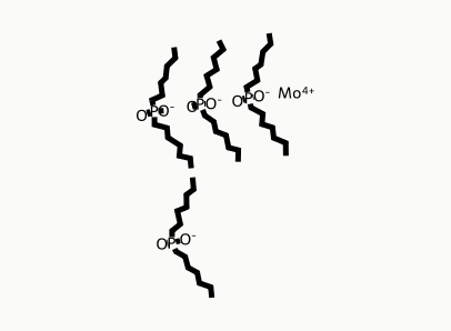 CCCCCCCP(=O)([O-])CCCCCCC.CCCCCCCP(=O)([O-])CCCCCCC.CCCCCCCP(=O)([O-])CCCCCCC.CCCCCCCP(=O)([O-])CCCCCCC.[Mo+4]